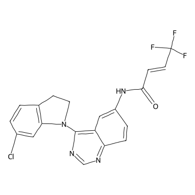 O=C(C=CC(F)(F)F)Nc1ccc2ncnc(N3CCc4ccc(Cl)cc43)c2c1